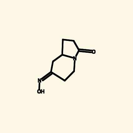 O=C1CCC2C/C(=N/O)CCN12